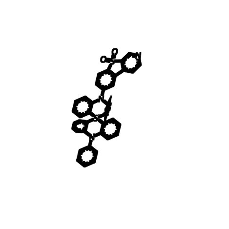 O=S1(=O)c2ccc(N3c4ccccc4[Si]4(c5ccccc5N(c5ccccc5)c5ccccc54)c4ccccc43)cc2-c2ccncc21